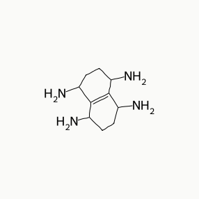 NC1CCC(N)C2=C1C(N)CCC2N